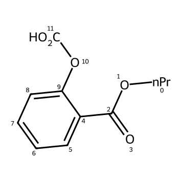 CCCOC(=O)c1ccccc1OC(=O)O